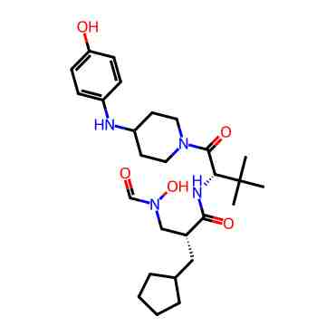 CC(C)(C)[C@H](NC(=O)[C@H](CC1CCCC1)CN(O)C=O)C(=O)N1CCC(Nc2ccc(O)cc2)CC1